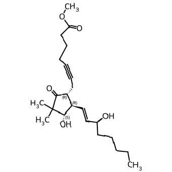 CCCCCC(O)C=C[C@@H]1[C@@H](CC#CCCCC(=O)OC)C(=O)C(C)(C)[C@H]1O